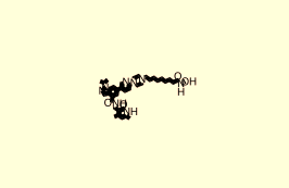 Cc1cc(C)c(CNC(=O)c2cc(-c3ccc(N4CCN(CCCCCCCCC(=O)NO)CC4)nc3)cc3c2cnn3C(C)C)c(=O)[nH]1